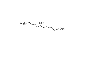 CCCCCCCCCCCCCCCCCCNC.Cl